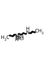 C=CC=CNCCCCNC=CC=C.Cl.Cl